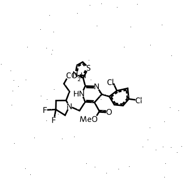 COC(=O)C1=C(CN2CC(F)(F)CC2CCC(=O)O)NC(c2nccs2)=NC1c1ccc(Cl)cc1Cl